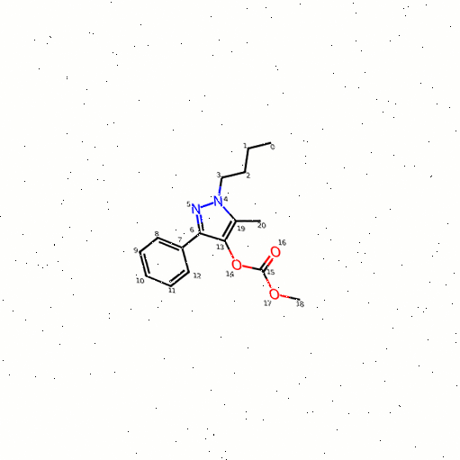 CCCCn1nc(-c2ccccc2)c(OC(=O)OC)c1C